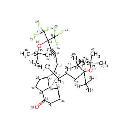 [2H]C([2H])([2H])C(CCCC(C)(CC#CC(O[Si](C)(C)C)(C(F)(F)F)C(F)(F)F)[C@H]1CCC2C(=O)CCC[C@@]21C)(O[Si](C)(C)C)C([2H])([2H])[2H]